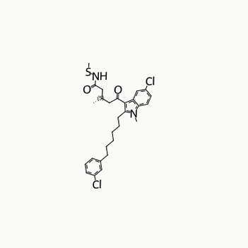 CSNC(=O)C[C@@H](C)CC(=O)c1c(CCCCCCc2cccc(Cl)c2)n(C)c2ccc(Cl)cc12